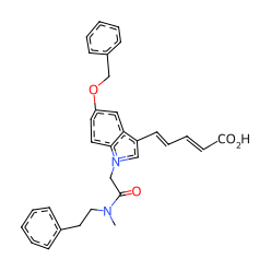 CN(CCc1ccccc1)C(=O)Cn1cc(/C=C/C=C/C(=O)O)c2cc(OCc3ccccc3)ccc21